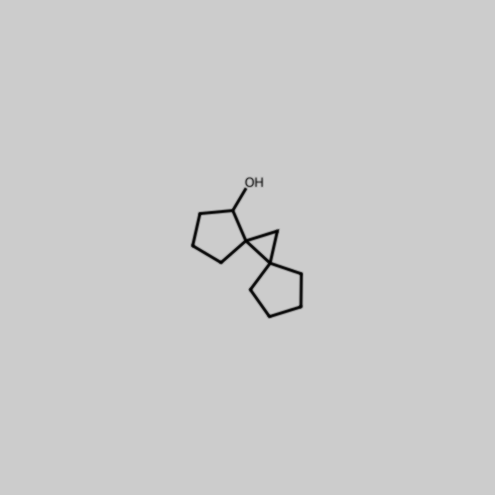 OC1CCCC12CC21CCCC1